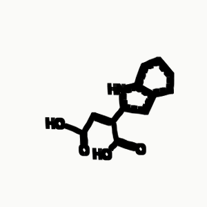 O=C(O)C=C(C(=O)O)c1cc2ccccc2[nH]1